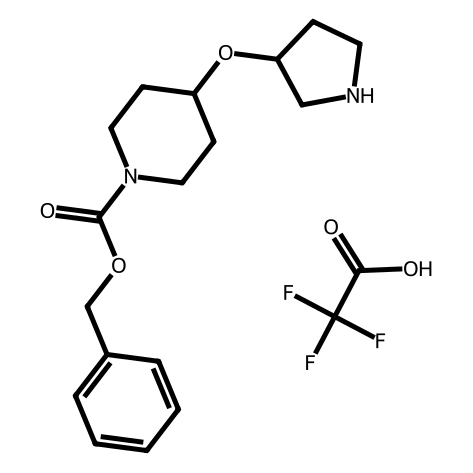 O=C(O)C(F)(F)F.O=C(OCc1ccccc1)N1CCC(OC2CCNC2)CC1